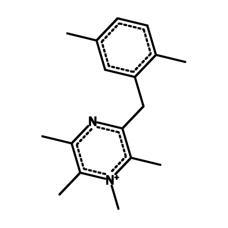 Cc1ccc(C)c(Cc2nc(C)c(C)[n+](C)c2C)c1